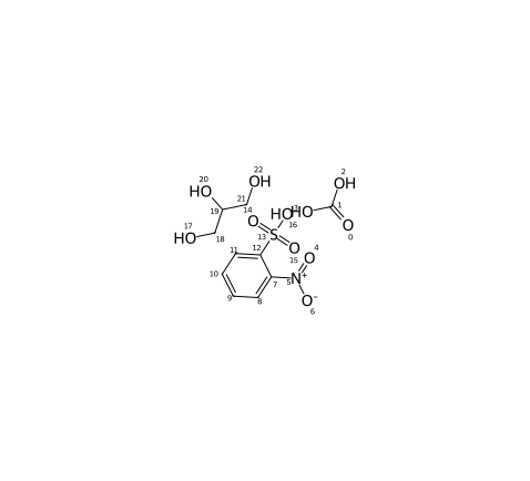 O=C(O)O.O=[N+]([O-])c1ccccc1S(=O)(=O)O.OCC(O)CO